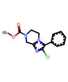 CC(C)(C)OC(=O)N1CCn2c(nc(Cl)c2-c2ccccc2)C1